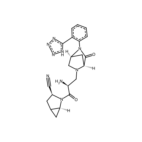 N#C[C@@H]1CC2C[C@@H]2N1C(=O)[C@@H](N)CN1C[C@@H]2C[C@H]1C(=O)N2c1ccccc1-c1nnn[nH]1